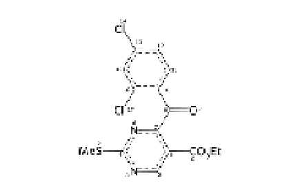 CCOC(=O)c1cnc(SC)nc1C(=O)c1ccc(Cl)cc1Cl